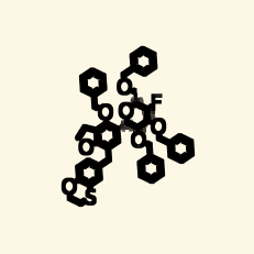 F[C@H]1[C@H](OCc2ccccc2)[C@@H](OCc2ccccc2)[C@H](c2cc(Cc3ccc4c(c3)SCCO4)c3c(c2OCc2ccccc2)CCO3)O[C@@H]1COCc1ccccc1